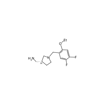 CCOc1cc(F)c(F)cc1CN1CC[C@H](CN)C1